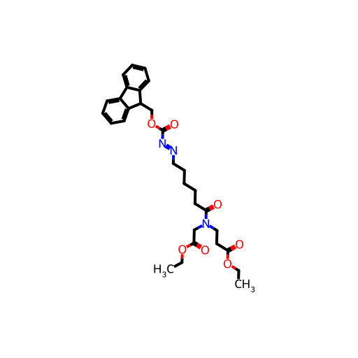 CCOC(=O)CCN(CC(=O)OCC)C(=O)CCCCCN=NC(=O)OCC1c2ccccc2-c2ccccc21